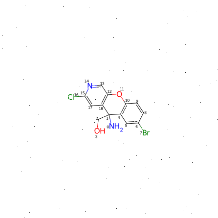 NC1(CO)c2cc(Br)ccc2Oc2cnc(Cl)cc21